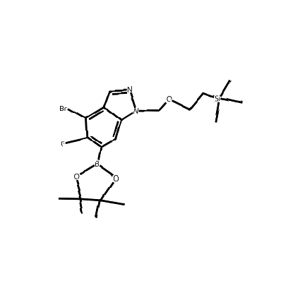 CC1(C)OB(c2cc3c(cnn3COCC[Si](C)(C)C)c(Br)c2F)OC1(C)C